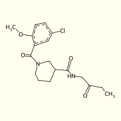 CCC(=O)CNC(=O)C1CCCN(C(=O)c2cc(Cl)ccc2OC)C1